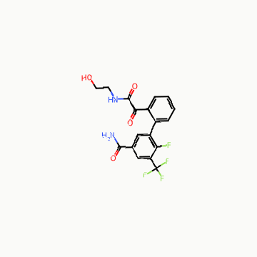 NC(=O)c1cc(-c2ccccc2C(=O)C(=O)NCCO)c(F)c(C(F)(F)F)c1